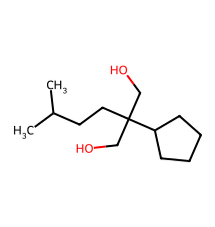 CC(C)CCC(CO)(CO)C1CCCC1